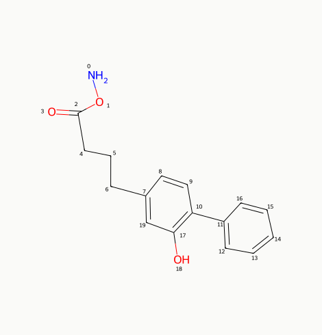 NOC(=O)CCCc1ccc(-c2ccccc2)c(O)c1